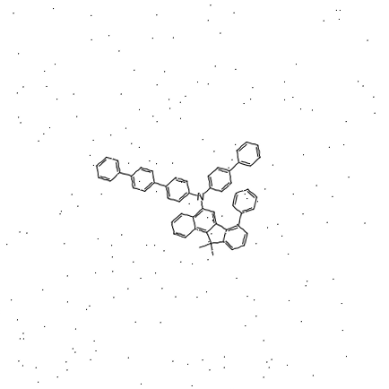 CC1(C)c2cccc(-c3ccccc3)c2-c2cc(N(c3ccc(-c4ccccc4)cc3)c3ccc(-c4ccc(-c5ccccc5)cc4)cc3)c3ccccc3c21